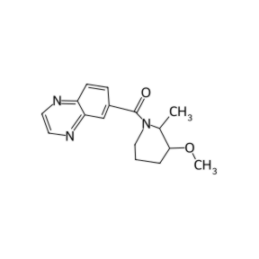 COC1CCCN(C(=O)c2ccc3nccnc3c2)C1C